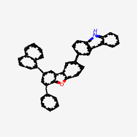 c1ccc(-c2cc(-c3cccc4ccccc34)cc3c2oc2ccc(-c4ccc5[nH]c6ccccc6c5c4)cc23)cc1